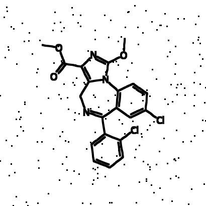 COC(=O)c1nc(OC)n2c1CN=C(c1ccccc1Cl)c1cc(Cl)ccc1-2